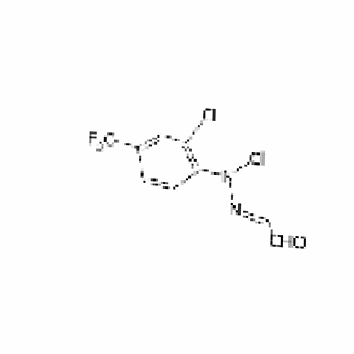 O=CC=NN(Cl)c1ccc(C(F)(F)F)cc1Cl